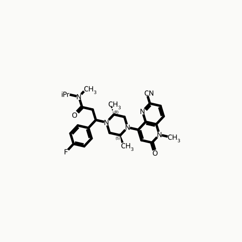 CC(C)N(C)C(=O)CC(c1ccc(F)cc1)N1C[C@H](C)N(c2cc(=O)n(C)c3ccc(C#N)nc23)C[C@H]1C